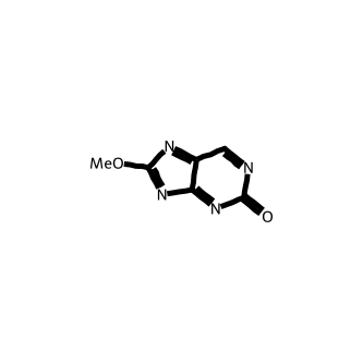 COC1=NC2=NC(=O)N=CC2=N1